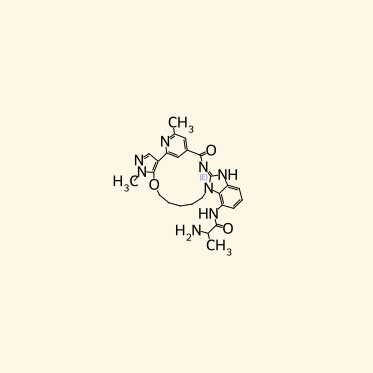 Cc1cc2cc(n1)-c1cnn(C)c1OCCCCCN1/C(=N/C2=O)Nc2cccc(NC(=O)C(C)N)c21